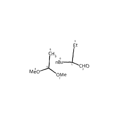 CCCCC(C=O)CC.COC(C)OC